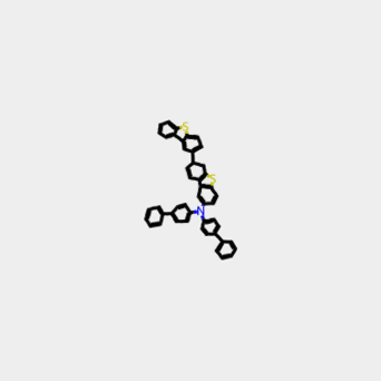 C1=CC(c2ccc3sc4ccccc4c3c2)Cc2sc3ccc(N(c4ccc(-c5ccccc5)cc4)c4ccc(-c5ccccc5)cc4)cc3c21